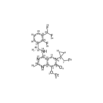 CCOc1c(=O)n(C2(CF)CC2)cc2c(N[C@H](C)c3cccc(C(F)F)c3F)nc(C)nc12